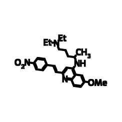 CCN(CC)CCCC(C)Nc1cc(/C=C/c2ccc([N+](=O)[O-])cc2)nc2ccc(OC)cc12